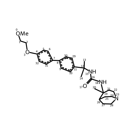 COCCOc1ccc(-c2ccc(C(C)(C)NC(=O)NC3(C)CCN4CCC3CC4)cc2)cc1